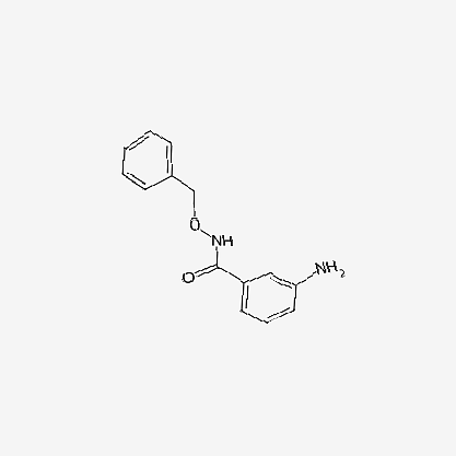 Nc1cccc(C(=O)NOCc2ccccc2)c1